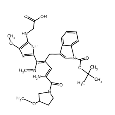 C=N/C(=C(\C=C(/N)C(=O)N1CCC(OC)C1)Cc1cn(C(=O)OC(C)(C)C)c2ccccc12)c1nc(OC)c(NCC(=O)O)[nH]1